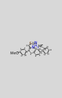 COc1ccc(C(Cc2ccc(-c3ccccc3C#N)cc2)c2csc(N)n2)cc1